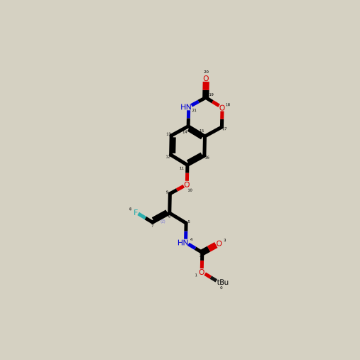 CC(C)(C)OC(=O)NC/C(=C/F)COc1ccc2c(c1)COC(=O)N2